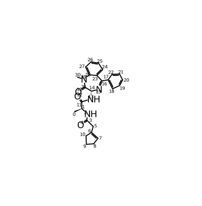 C[C@H](NC(=O)CC1=CCCC1)C(=O)N[C@H]1N=C(c2ccccc2)c2ccccc2N(C)C1=O